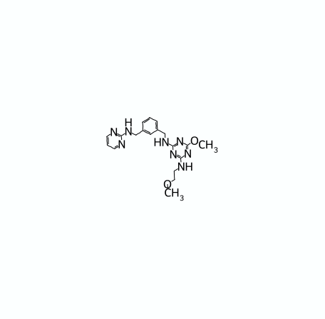 COCCNc1nc(NCc2cccc(CNc3ncccn3)c2)nc(OC)n1